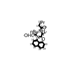 CCCC[C@@H]([C]=O)N(C(=O)[C@H](C)NC(=O)CC(C)C)c1cccc2ccccc12